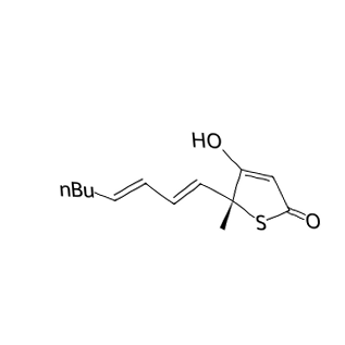 CCCC/C=C/C=C/[C@@]1(C)SC(=O)C=C1O